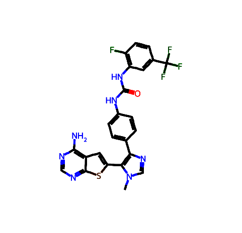 Cn1cnc(-c2ccc(NC(=O)Nc3cc(C(F)(F)F)ccc3F)cc2)c1-c1cc2c(N)ncnc2s1